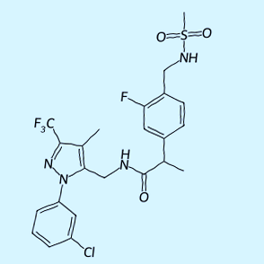 Cc1c(C(F)(F)F)nn(-c2cccc(Cl)c2)c1CNC(=O)C(C)c1ccc(CNS(C)(=O)=O)c(F)c1